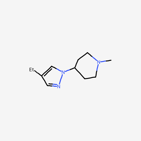 CCc1cnn(C2CCN(C)CC2)c1